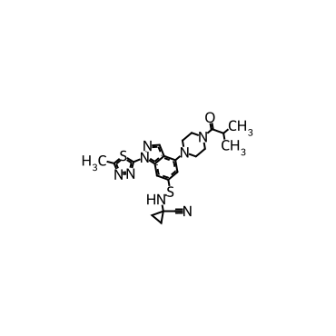 Cc1nnc(-n2ncc3c(N4CCN(C(=O)C(C)C)CC4)cc(SNC4(C#N)CC4)cc32)s1